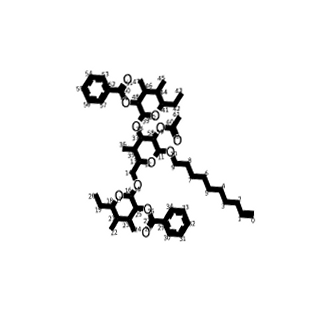 C=CCCCCCCCCOC1OC(COC2OC(CC)C(C)C(C)C2OC(=O)c2ccccc2)C(C)C(OC2OC(CC)C(C)C(C)C2OC(=O)c2ccccc2)C1OC(C)=O